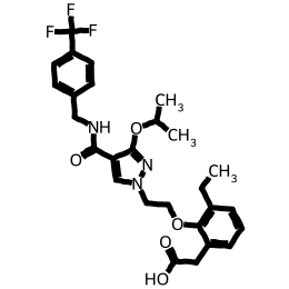 CCc1cccc(CC(=O)O)c1OCCn1cc(C(=O)NCc2ccc(C(F)(F)F)cc2)c(OC(C)C)n1